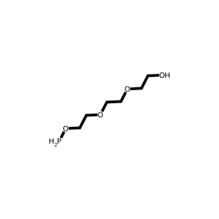 OCCOCCOCCOP